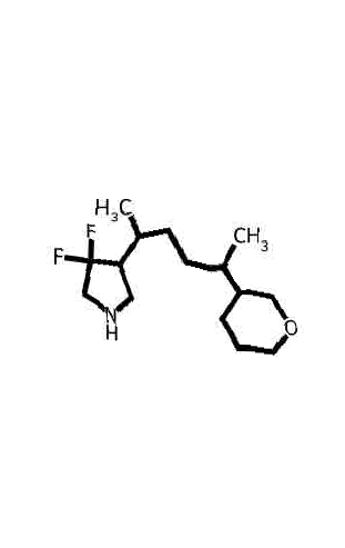 CC(CCC(C)C1CNCC1(F)F)C1CCCOC1